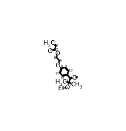 C=CC(=O)OCCOc1ccc(C(=O)C(C)(C)OCC)cc1